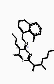 CC/C=C1/C(C)=NC(C(C)C(C)CCCC)=N/C1=N/CC1=CCCc2cccc(C)c21